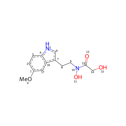 COc1ccc2[nH]cc(CCN(O)C(=O)CO)c2c1